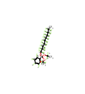 Fc1c(F)c(F)c([Si](OC(F)(F)C(F)(F)F)(OC(F)(F)C(F)(F)F)OC(F)(F)C(F)(F)C(F)(F)C(F)(F)C(F)(F)C(F)(F)C(F)(F)C(F)(F)C(F)(F)C(F)(F)F)c(F)c1F